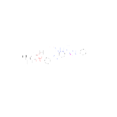 CC1(C)OB(c2cccc(C3=Nc4ccc(NC(=O)NCc5ccccc5)cc4NC(=O)C3)c2)OC1(C)C